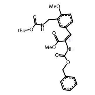 COC(=O)/C(=C\c1ccc(OC)c(CNC(=O)OC(C)(C)C)c1)NC(=O)OCc1ccccc1